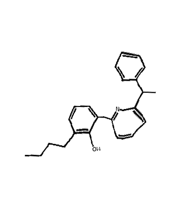 CCCCc1cccc(-c2cccc(C(C)c3ccccc3)n2)c1O